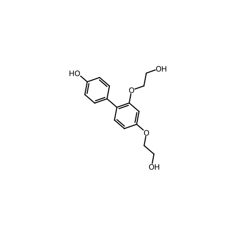 OCCOc1ccc(-c2ccc(O)cc2)c(OCCO)c1